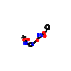 CC(C)(C)OC(=O)N[C@H]1CCN(CCOCCNC(=O)OCc2ccccc2)C1